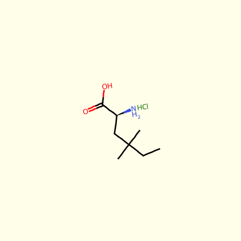 CCC(C)(C)C[C@H](N)C(=O)O.Cl